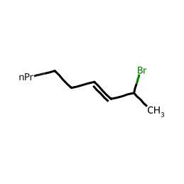 CCCCCC=CC(C)Br